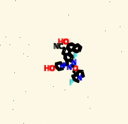 N#CCCc1cc2c(N3CCC(O)CC3)nc(OC[C@@]34CCCN3CC(F)C4)nc2c(F)c1-c1cc(O)cc2ccccc12